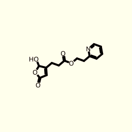 O=C1C=C(CCC(=O)OCCc2ccccn2)C(O)O1